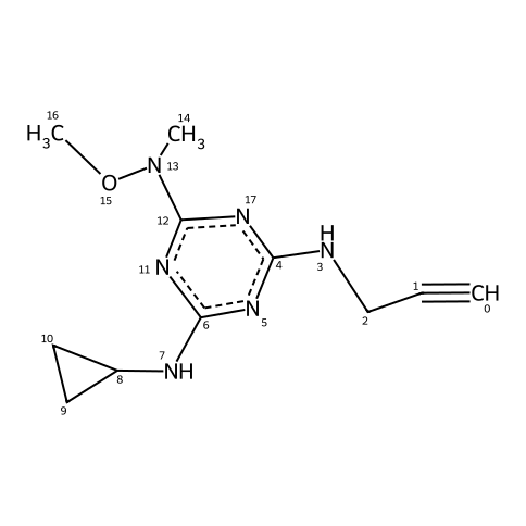 C#CCNc1nc(NC2CC2)nc(N(C)OC)n1